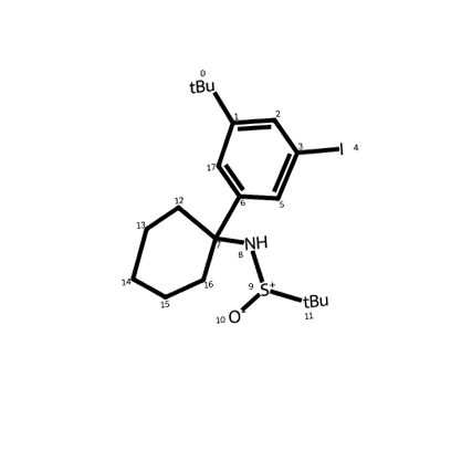 CC(C)(C)c1cc(I)cc(C2(N[S+]([O-])C(C)(C)C)CCCCC2)c1